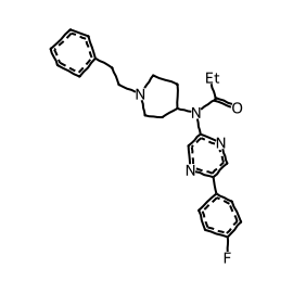 CCC(=O)N(c1cnc(-c2ccc(F)cc2)cn1)C1CCN(CCc2ccccc2)CC1